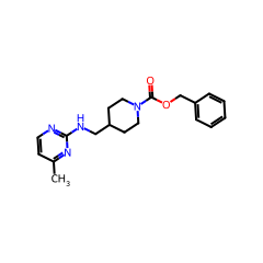 Cc1ccnc(NCC2CCN(C(=O)OCc3ccccc3)CC2)n1